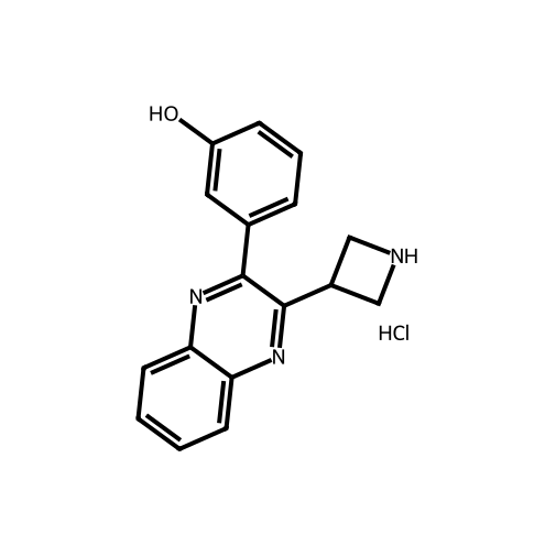 Cl.Oc1cccc(-c2nc3ccccc3nc2C2CNC2)c1